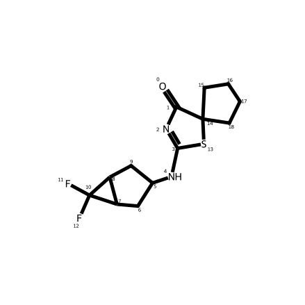 O=C1N=C(NC2CC3C(C2)C3(F)F)SC12CCCC2